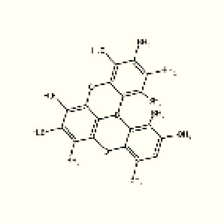 Bc1cc(B)c2c(c1B)B1c3c(B)c(B)c(B)c(B)c3Oc3c(B)c(B)c(B)c(c31)O2